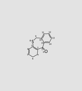 O=C1C2=C(C=CCC2)SCc2ccccc21